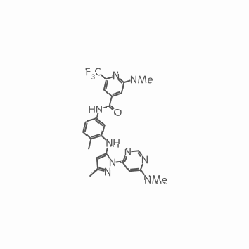 CNc1cc(-n2nc(C)cc2Nc2cc(NC(=O)c3cc(NC)nc(C(F)(F)F)c3)ccc2C)ncn1